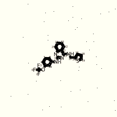 FC(F)(F)Oc1cccc(Nc2nc(NCc3cccs3)c3ccccc3n2)c1